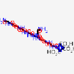 C[C@@H](CCCCNC(=O)[C@H](CCCCNC(=O)CCCC(=O)NCCOCCOCC(=O)NCCOCCOCC(=O)NCCCCCC(N)=O)NC(=O)COCCOCCNC(=O)COCCOCCNC(=O)CN1CCN(CC(=O)O)CCN(CC(=O)O)CCN(CC(=O)O)CC1)C(N)=O